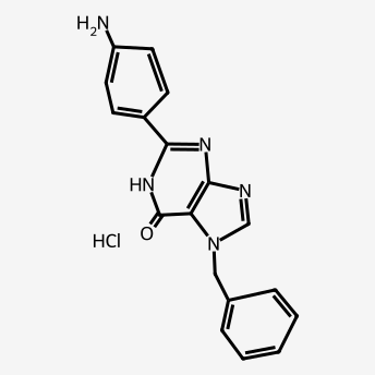 Cl.Nc1ccc(-c2nc3ncn(Cc4ccccc4)c3c(=O)[nH]2)cc1